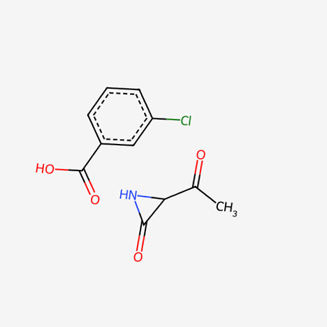 CC(=O)C1NC1=O.O=C(O)c1cccc(Cl)c1